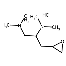 CN(C)CC(CC1CO1)N(C)C.Cl